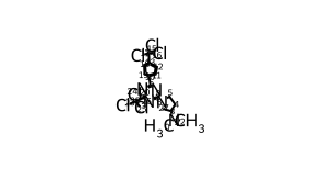 CN(C)C1CCN(c2nc(-c3ccc(C(Cl)(Cl)Cl)cc3)nc(C(Cl)(Cl)Cl)n2)C1